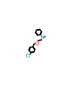 CN(CCOCc1ccc(Cl)cc1)c1ccccc1